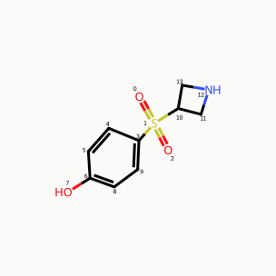 O=S(=O)(c1ccc(O)cc1)C1CNC1